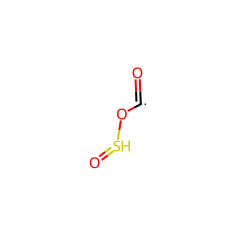 O=[C]O[SH]=O